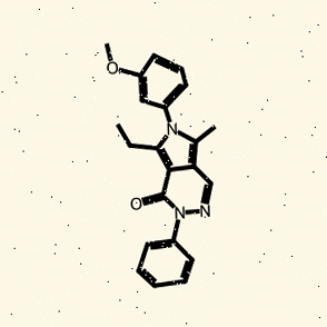 CCc1c2c(=O)n(-c3ccccc3)ncc2c(C)n1-c1cccc(OC)c1